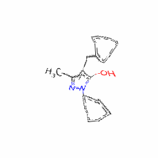 Cc1nn(-c2ccccc2)c(O)c1Cc1ccccc1